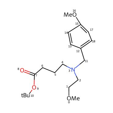 COCCN(CCCC(=O)OC(C)(C)C)Cc1ccc(OC)cc1